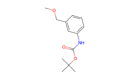 COCc1cccc(NC(=O)OC(C)(C)C)c1